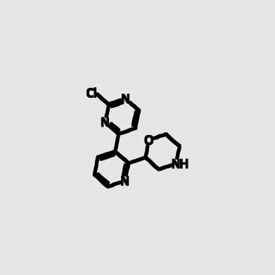 Clc1nccc(-c2cccnc2C2CNCCO2)n1